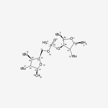 B[C@@H]1O[C@H](C(C)(C)C)[C@H](O[P@@](=O)(S)OC[C@H]2O[C@@H](C)C(C(C)(C)C)[C@H]2C(C)(C)C)C1C(C)(C)C